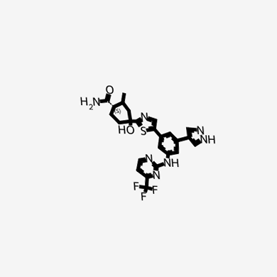 CC1CC(O)(c2ncc(-c3cc(Nc4nccc(C(F)(F)F)n4)cc(-c4cn[nH]c4)c3)s2)CC[C@@H]1C(N)=O